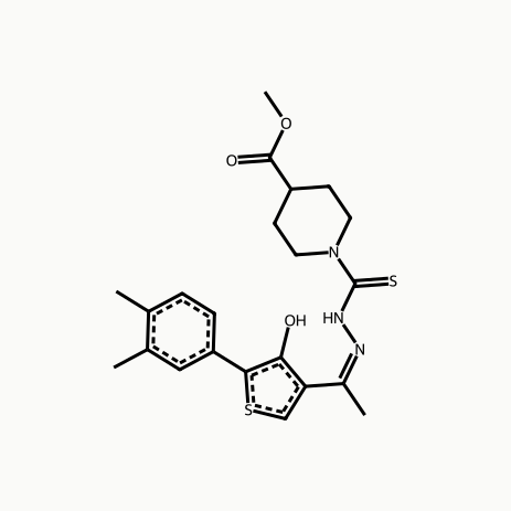 COC(=O)C1CCN(C(=S)NN=C(C)c2csc(-c3ccc(C)c(C)c3)c2O)CC1